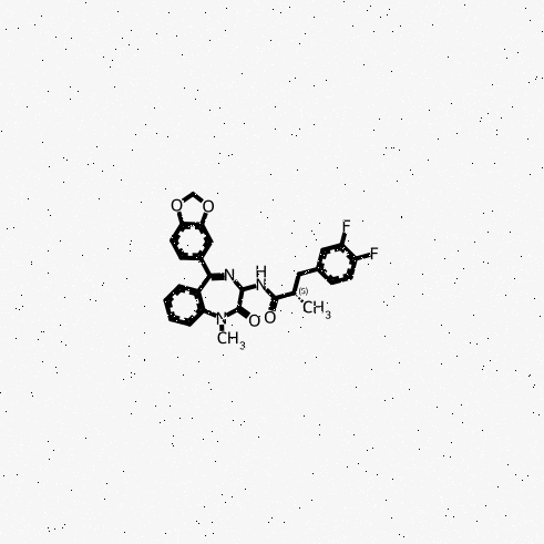 C[C@@H](Cc1ccc(F)c(F)c1)C(=O)NC1N=C(c2ccc3c(c2)OCO3)c2ccccc2N(C)C1=O